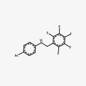 CC(=O)c1ccc(NCc2c(F)c(F)c(F)c(F)c2F)cc1